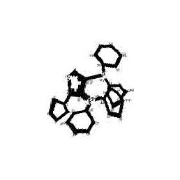 c1sc(C2CCCC2)c(P(C2CCCCC2)C2CCCCC2)c1P(C1CCCCC1)C1CCCCC1